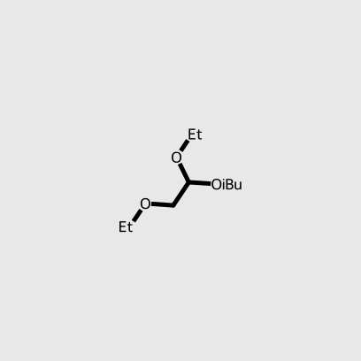 [CH2]COCC(OCC)OCC(C)C